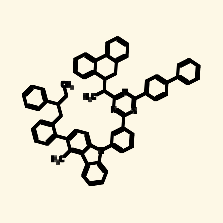 CCC(Cc1ccccc1-c1ccc2c(c1C)c1ccccc1n2-c1cccc(-c2nc(-c3ccc(-c4ccccc4)cc3)nc(C(C)C3Cc4ccccc4-c4ccccc43)n2)c1)c1ccccc1